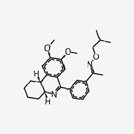 COc1cc2c(cc1OC)[C@H]1CCCC[C@H]1N=C2c1cccc(C(C)=NOCC(C)C)c1